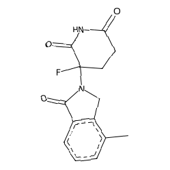 Cc1cccc2c1CN(C1(F)CCC(=O)NC1=O)C2=O